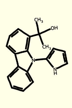 CC(C)(O)c1cccc2c3ccccc3n(-c3ccc[nH]3)c12